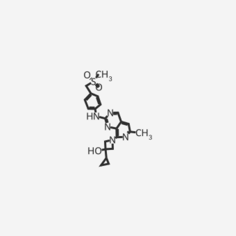 Cc1cc2cnc(Nc3ccc(CS(C)(=O)=O)cc3)nc2c(N2CC(O)(C3CC3)C2)n1